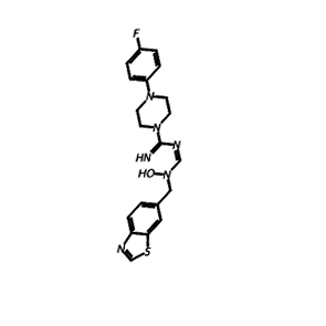 N=C(/N=C\N(O)Cc1ccc2ncsc2c1)N1CCN(c2ccc(F)cc2)CC1